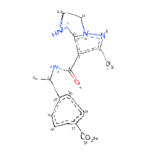 CC(NC(=O)c1c(C(F)(F)F)nn2c1NCC2)c1ccc(C(=O)O)cc1